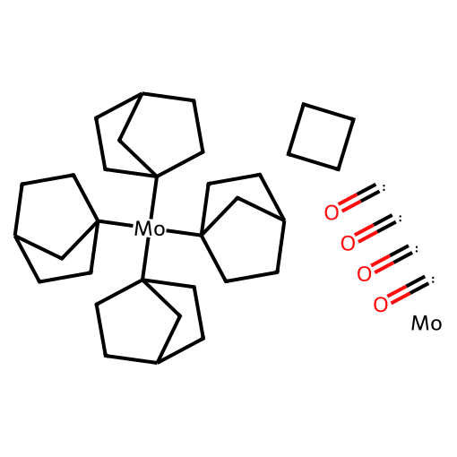 C1CCC1.C1C[C]2([Mo]([C]34CCC(CC3)C4)([C]34CCC(CC3)C4)[C]34CCC(CC3)C4)CCC1C2.[C]=O.[C]=O.[C]=O.[C]=O.[Mo]